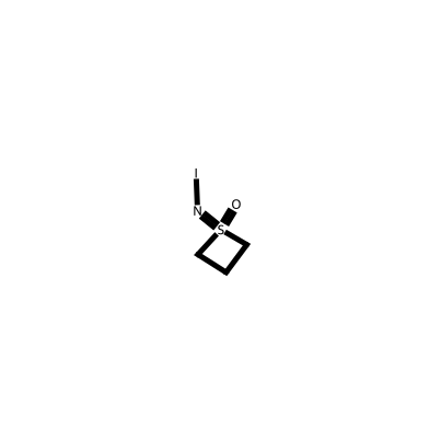 O=S1(=NI)CCC1